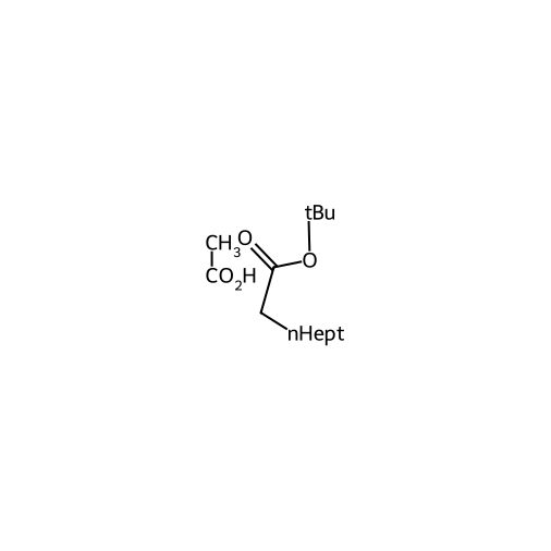 CC(=O)O.CCCCCCCCC(=O)OC(C)(C)C